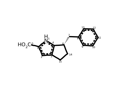 O=C(O)c1cc2c([nH]1)[C@H](Cc1ccccc1)CC2